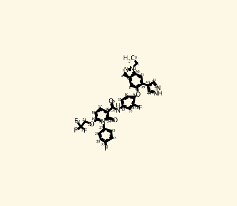 CCn1ncc2cc(Oc3ccc(NC(=O)c4ccc(OCC(F)(F)F)n(-c5ccc(F)cc5)c4=O)cc3F)c(-c3cn[nH]c3)cc21